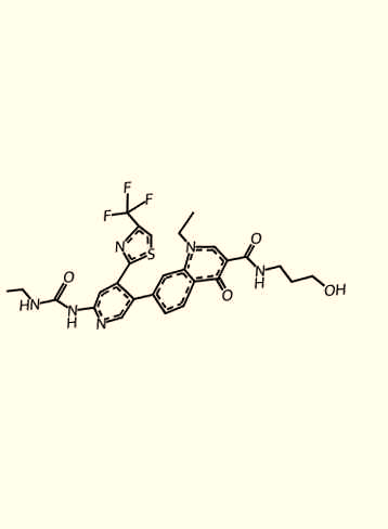 CCNC(=O)Nc1cc(-c2nc(C(F)(F)F)cs2)c(-c2ccc3c(=O)c(C(=O)NCCCO)cn(CC)c3c2)cn1